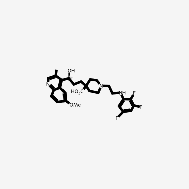 COc1ccc2ncc(C)c([C@@H](O)CCC3(C(=O)O)CCN(CCNc4cc(F)cc(F)c4F)CC3)c2c1